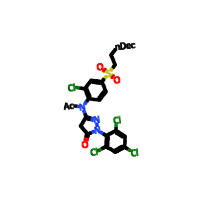 CCCCCCCCCCCCS(=O)(=O)c1ccc(N(C(C)=O)C2=NN(c3c(Cl)cc(Cl)cc3Cl)C(=O)C2)c(Cl)c1